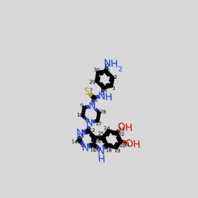 Nc1ccc(NC(=S)N2CCN(c3ncnc4[nH]c5cc(O)c(O)cc5c34)CC2)cc1